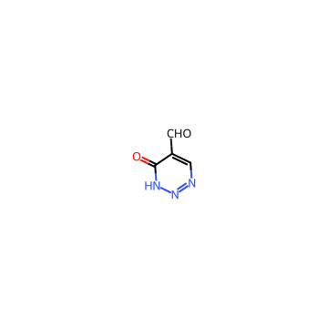 O=Cc1cnn[nH]c1=O